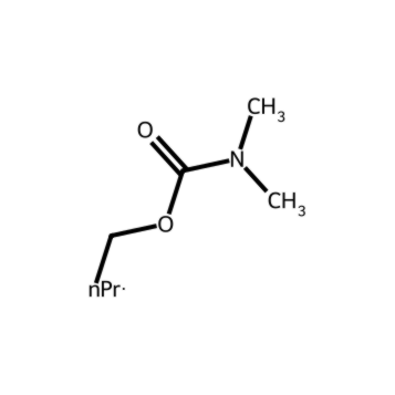 CC[CH]COC(=O)N(C)C